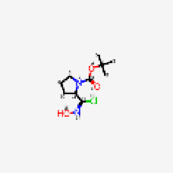 CC(C)(C)OC(=O)N1CCCC1/C(Cl)=N\O